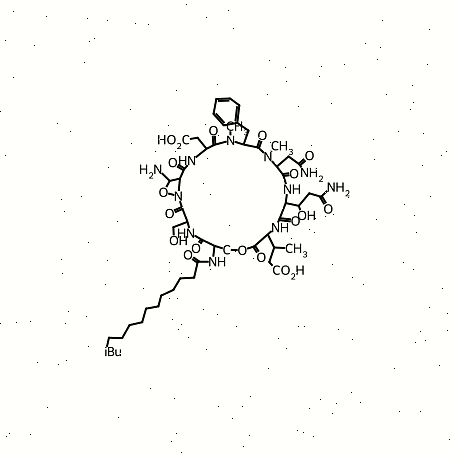 CCC(C)CCCCCCCCCCC(=O)NC1COC(=O)C(C(C)CC(=O)O)NC(=O)C(C(O)CC(N)=O)NC(=O)C(CC(N)=O)N(C)C(=O)C(Cc2ccccc2)N(C)C(=O)C(CC(=O)O)NC(=O)C2C(N)ON2C(=O)C(CO)NC1=O